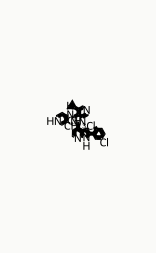 CC1(C)CNCC[C@H]1Nc1nc(-c2ccnc3[nH]c(-c4cc(Cl)ccc4Cl)cc23)nc2cncc(C3CC3)c12